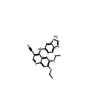 CCOc1cc2ncc(C#N)c(Nc3ccc4ncsc4c3)c2cc1OCC.Cl